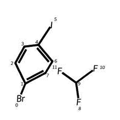 Brc1ccc(I)cc1.FC(F)F